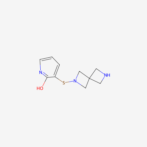 Oc1ncccc1SN1CC2(CNC2)C1